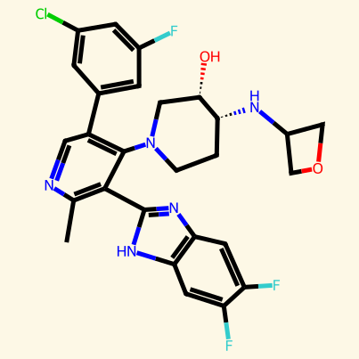 Cc1ncc(-c2cc(F)cc(Cl)c2)c(N2CC[C@@H](NC3COC3)[C@@H](O)C2)c1-c1nc2cc(F)c(F)cc2[nH]1